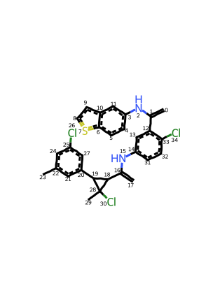 C=C(Nc1ccc2sccc2c1)c1cc(NC(=C)C2C(c3cc(C)cc(Cl)c3)C2(C)Cl)ccc1Cl